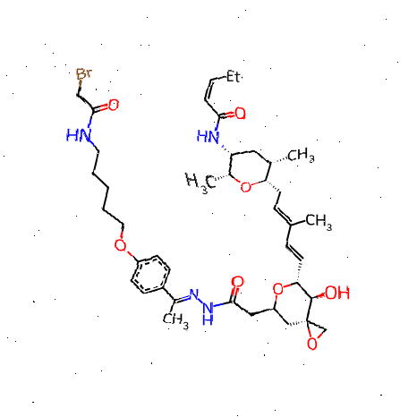 C[CH]/C=C\C(=O)N[C@@H]1C[C@H](C)[C@H](C/C=C(C)/C=C/[C@H]2O[C@H](CC(=O)N/N=C(\C)c3ccc(OCCCCCNC(=O)CBr)cc3)C[C@@]3(CO3)[C@@H]2O)O[C@@H]1C